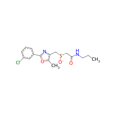 CCCNC(=O)C[S+]([O-])Cc1nc(-c2cccc(Cl)c2)oc1C